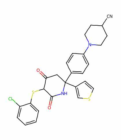 N#CC1CCN(c2ccc(C3(c4ccsc4)CC(=O)C(Sc4ccccc4Cl)C(=O)N3)cc2)CC1